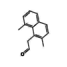 Cc1ccc2cccc(C)c2c1CC=O